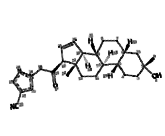 C[C@@]1(O)CC[C@H]2[C@H](CC[C@@H]3[C@@H]2CC[C@]2(C)[C@@H](C(=O)Cn4cc(C#N)cn4)C=C[C@@H]32)C1